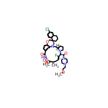 COCCN1CCN(C(=O)[C@H]2/C(F)=C/C[C@H](C)[C@@H](C)S(=O)(=O)NC(=O)c3ccc4c(c3)N(C[C@@H]3CCCN32)C[C@@]2(CCCc3cc(Cl)ccc32)CO4)CC1